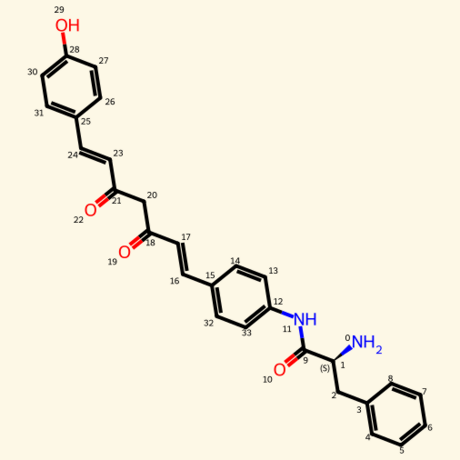 N[C@@H](Cc1ccccc1)C(=O)Nc1ccc(C=CC(=O)CC(=O)C=Cc2ccc(O)cc2)cc1